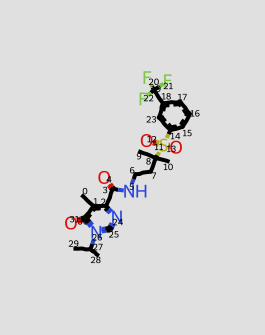 Cc1c(C(=O)NCCC(C)(C)S(=O)(=O)c2cccc(C(F)(F)F)c2)ncn(C(C)C)c1=O